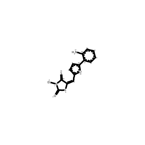 CCN1C(=O)SC(=Cc2ccc(-c3ccccc3N)o2)C1=S